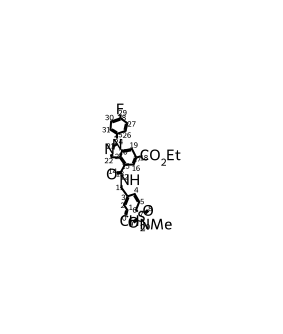 C=C/C=C(\C=C/CS(=O)(=O)NC)CNC(=O)c1cc(C(=O)OCC)cc2c1cnn2-c1ccc(F)cc1